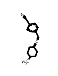 CC1CCC(=C=Cc2ccc(C#N)cc2)CC1